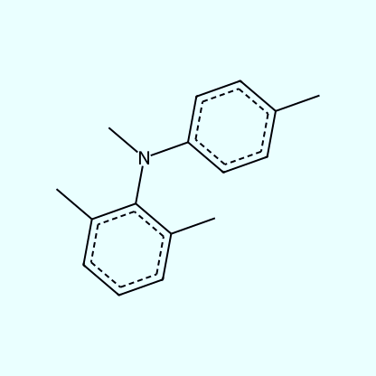 Cc1ccc(N(C)c2c(C)cccc2C)cc1